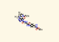 C[C@@H]1CCN(C(=O)CC#N)C[C@@H]1N(C)c1ncnc2c1ccn2C(=O)NCCCC(=O)Nc1ccc(CCNC(=O)OC(C)(C)C)cc1